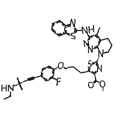 CCNC(C)(C)C#Cc1ccc(OCCCc2sc(N3CCCc4c3nnc(Nc3nc5ccccc5s3)c4C)nc2C(=O)OC)c(F)c1